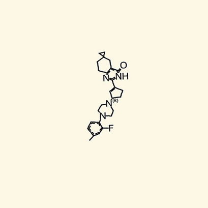 Cc1ccc(N2CCN([C@H]3C=C(c4nc5c(c(=O)[nH]4)CC4(CC5)CC4)CC3)CC2)c(F)c1